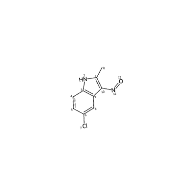 Cc1[nH]c2ccc(Cl)cc2c1N=O